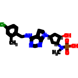 Cc1cc(Cl)ccc1CNc1ncnc2c1ccn2[C@H]1C[C@H](O)[C@@H](N(C)S(=O)(=O)O)C1